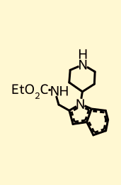 CCOC(=O)NCc1cc2ccccc2n1C1CCNCC1